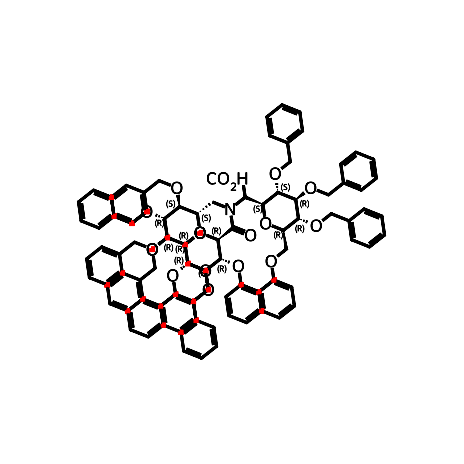 O=C(O)C([C@@H]1O[C@H](COCc2ccccc2)[C@@H](OCc2ccccc2)[C@H](OCc2ccccc2)[C@H]1OCc1ccccc1)N(C[C@@H]1O[C@H](COCc2ccccc2)[C@@H](OCc2ccccc2)[C@H](OCc2ccccc2)[C@H]1OCc1ccccc1)C(=O)[C@@H]1O[C@H](COCc2ccccc2)[C@@H](OCc2ccccc2)[C@H](OCc2ccccc2)[C@H]1OCc1ccccc1